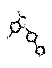 O=[N+]([O-])c1ccc(Br)cc1Nc1ccc(-n2ccnc2)cc1